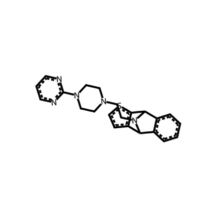 c1cnc(N2CCN(CCN3C4c5ccccc5C3c3sccc34)CC2)nc1